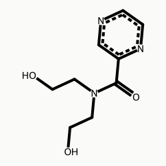 O=C(c1cnccn1)N(CCO)CCO